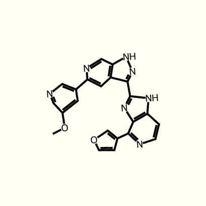 COc1cncc(-c2cc3c(-c4nc5c(-c6ccoc6)nccc5[nH]4)n[nH]c3cn2)c1